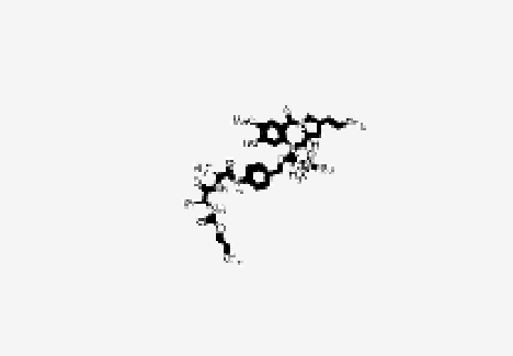 C=CCOC(=O)N[C@H](C(=O)N[C@@H](C)C(=O)Nc1ccc(COC(=O)N2c3cc(O)c(OC)cc3C(=O)N3CC(/C=C/C)C[C@H]3[C@@H]2O[Si](C)(C)C(C)(C)C)cc1)C(C)C